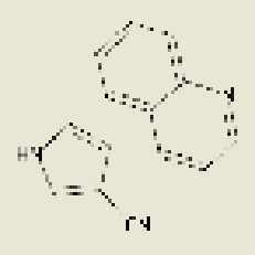 N#Cc1cc[nH]c1.c1ccc2ncccc2c1